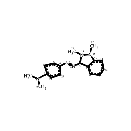 CN(C)c1ccc(N=NC2c3ccccc3N(C)N2C)cc1